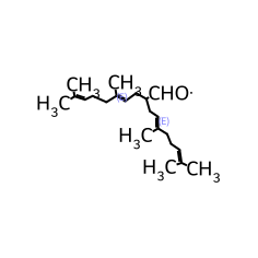 CC(C)=CCC/C(C)=C/CC([C]=O)C/C=C(\C)CCC=C(C)C